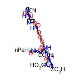 CCCCCC(=O)NCCCC[C@H](NC(=O)[C@H](CCCCNC(=O)CN1CCN(CC(=O)O)CCN(CC(=O)O)CC1)NC(=O)CCOCCOCCOCCNC(=O)COc1ccc2c(C(=O)NCC(=O)N3CCC[C@H]3C#N)ccnc2c1)C(=O)O